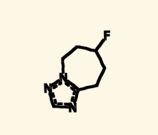 FC1CCc2ncnn2CC1